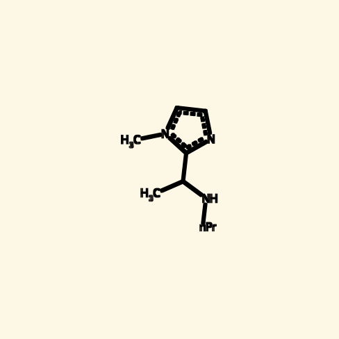 CCCNC(C)c1nccn1C